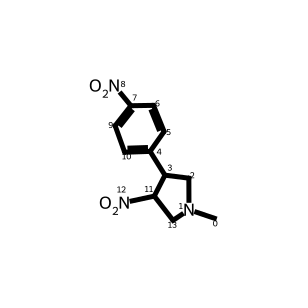 CN1CC(c2ccc([N+](=O)[O-])cc2)C([N+](=O)[O-])C1